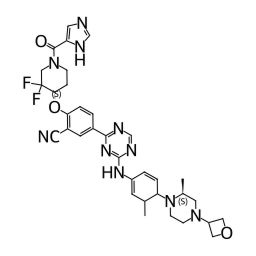 CC1C=C(Nc2ncnc(-c3ccc(O[C@H]4CCN(C(=O)c5cnc[nH]5)CC4(F)F)c(C#N)c3)n2)C=CC1N1CCN(C2COC2)C[C@@H]1C